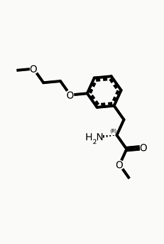 COCCOc1cccc(C[C@@H](N)C(=O)OC)c1